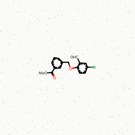 COC(=O)c1cccc(COc2ccc(Br)cc2C=O)c1